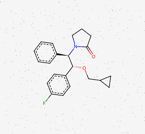 O=C1CCCN1[C@H](c1ccccc1)[C@H](OCC1CC1)c1ccc(F)cc1